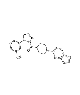 N#Cc1cccc(C2CC=NN2C(=O)C2CCN(c3ccc4nccn4n3)CC2)c1